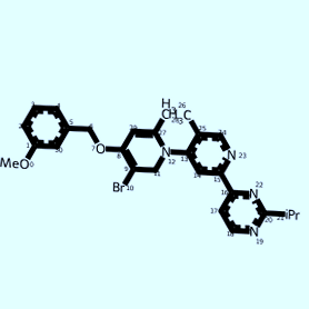 COc1cccc(COC2=C(Br)CN(c3cc(-c4ccnc(C(C)C)n4)ncc3C)C(C)=C2)c1